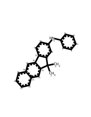 CC1(C)c2cc(Nc3ccccc3)ccc2-c2cc3ccccc3cc21